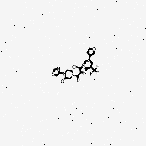 O=C(c1nc2c(C(F)(F)F)cc(-c3ccoc3)cn2c1Cl)N1CCN(c2cscn2)C(=O)C1